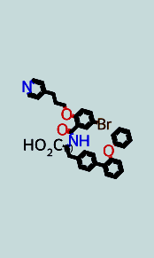 O=C(N[C@@H](Cc1ccc(-c2ccccc2Oc2ccccc2)cc1)C(=O)O)c1cc(Br)ccc1OCCCc1ccncc1